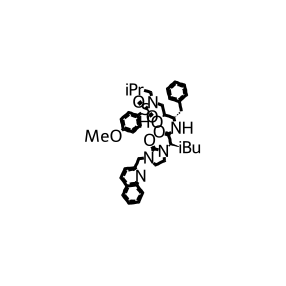 CC[C@H](C)[C@@H](C(=O)N[C@@H](Cc1ccccc1)[C@H](O)CN(CC(C)C)S(=O)(=O)c1ccc(OC)cc1)N1CCN(Cc2ccc3ccccc3n2)C1=O